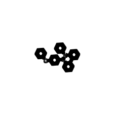 c1ccc(Oc2ccc(B3c4ccccc4-c4ccccc4N3c3ccccc3)cc2)cc1